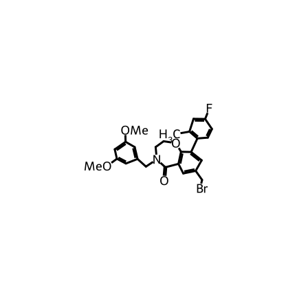 COc1cc(CN2CCOc3c(cc(CBr)cc3-c3ccc(F)cc3C)C2=O)cc(OC)c1